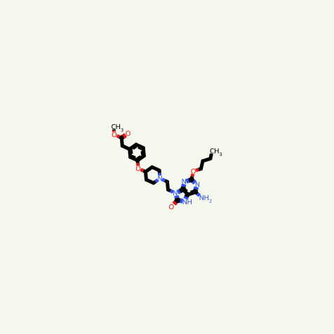 CCCCOc1nc(N)c2[nH]c(=O)n(CCN3CCC(Oc4cccc(CC(=O)OC)c4)CC3)c2n1